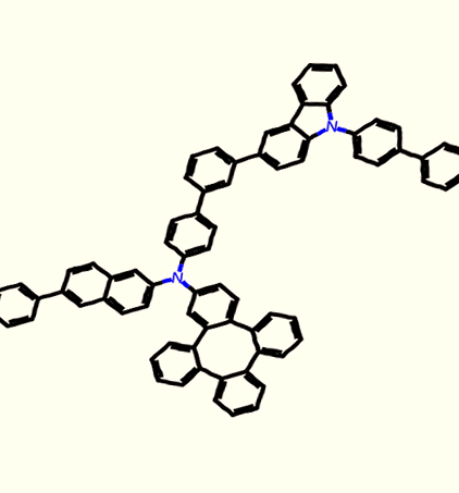 c1ccc(-c2ccc(-n3c4ccccc4c4cc(-c5cccc(-c6ccc(N(c7ccc8c(c7)-c7ccccc7-c7ccccc7-c7ccccc7-8)c7ccc8cc(-c9ccccc9)ccc8c7)cc6)c5)ccc43)cc2)cc1